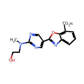 CN(CCO)c1ncc(-c2nc3cccc(C(=O)O)c3o2)cn1